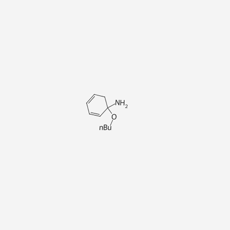 CCCCOC1(N)C=CC=CC1